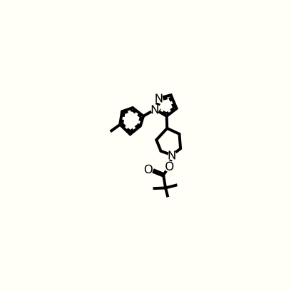 Cc1ccc(-n2nccc2C2CCN(OC(=O)C(C)(C)C)CC2)cc1